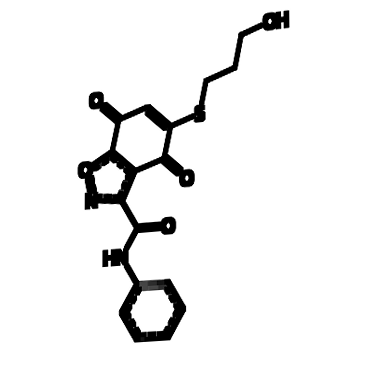 O=C(Nc1ccccc1)c1noc2c1C(=O)C(SCCCO)=CC2=O